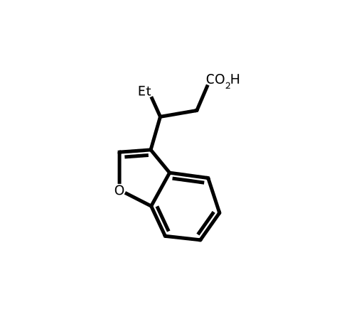 CCC(CC(=O)O)c1coc2ccccc12